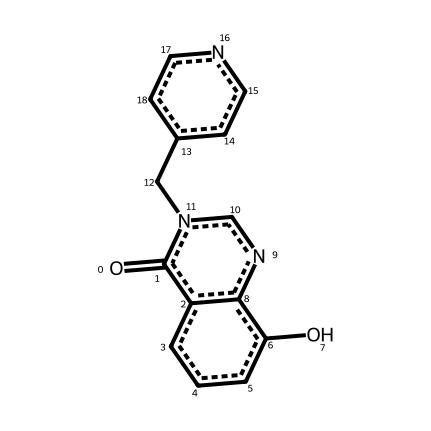 O=c1c2cccc(O)c2ncn1Cc1ccncc1